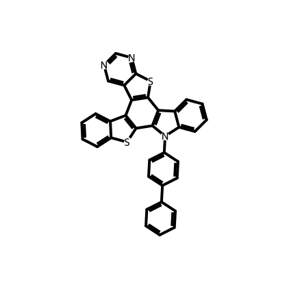 c1ccc(-c2ccc(-n3c4ccccc4c4c5sc6ncncc6c5c5c6ccccc6sc5c43)cc2)cc1